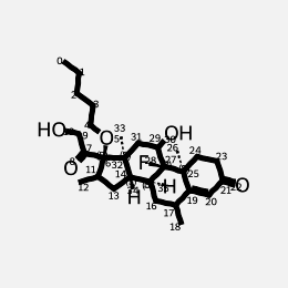 CCCCCO[C@]1(C(=O)CO)C(C)C[C@H]2[C@@H]3CC(C)C4=CC(=O)CC[C@]4(C)[C@@]3(F)C(O)C[C@@]21C